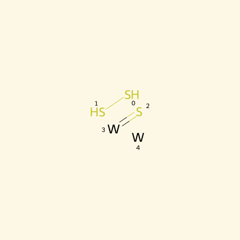 SS.[S]=[W].[W]